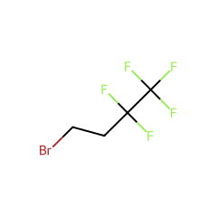 FC(F)(F)C(F)(F)CCBr